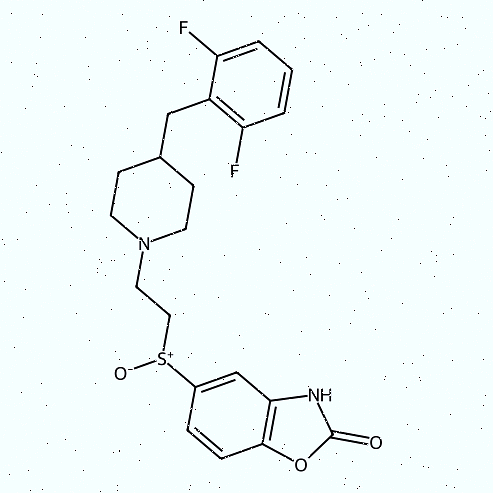 O=c1[nH]c2cc([S+]([O-])CCN3CCC(Cc4c(F)cccc4F)CC3)ccc2o1